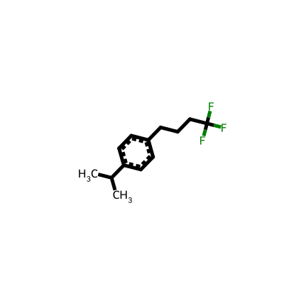 CC(C)c1ccc(CCCC(F)(F)F)cc1